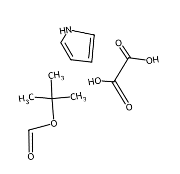 CC(C)(C)OC=O.O=C(O)C(=O)O.c1cc[nH]c1